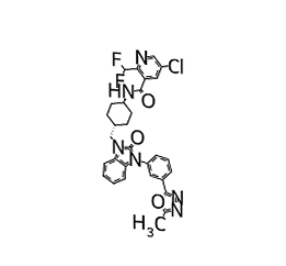 Cc1nnc(-c2cccc(-n3c(=O)n(C[C@H]4CC[C@H](NC(=O)c5cc(Cl)cnc5C(F)F)CC4)c4ccccc43)c2)o1